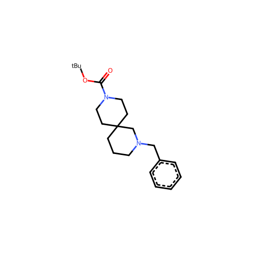 CC(C)(C)OC(=O)N1CCC2(CCCN(Cc3ccccc3)C2)CC1